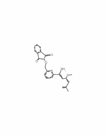 C=C(C)/C=C(\C=C(/N)c1cccc(CON2C(=O)c3ccccc3C2=O)n1)OC